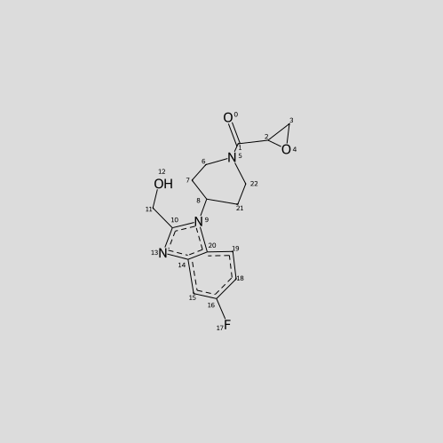 O=C(C1CO1)N1CCC(n2c(CO)nc3cc(F)ccc32)CC1